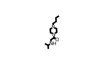 CCCCN1CCN(C(=O)CNC(C)C)CC1